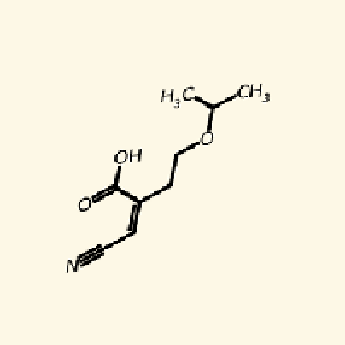 CC(C)OCC/C(=C/C#N)C(=O)O